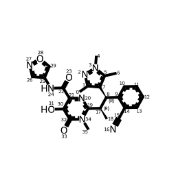 Cc1nn(C)c(C)c1[C@@H](c1ccccc1C#N)[C@@H](C)c1nc(C(=O)Nc2cnoc2)c(O)c(=O)n1C